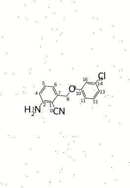 N#Cc1c(N)cccc1COc1cccc(Cl)c1